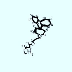 CC(=O)CC(=O)OCCN1CCC(c2ccccc2)(c2ccccc2)CC1